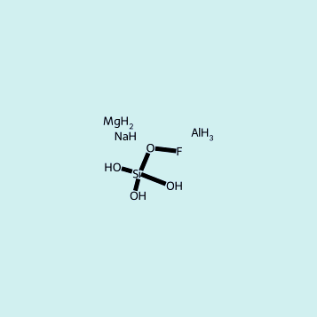 O[Si](O)(O)OF.[AlH3].[MgH2].[NaH]